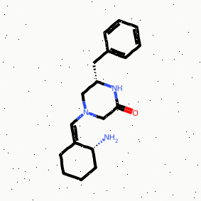 N[C@@H]1CCCC/C1=C/N1CC(=O)N[C@@H](Cc2ccccc2)C1